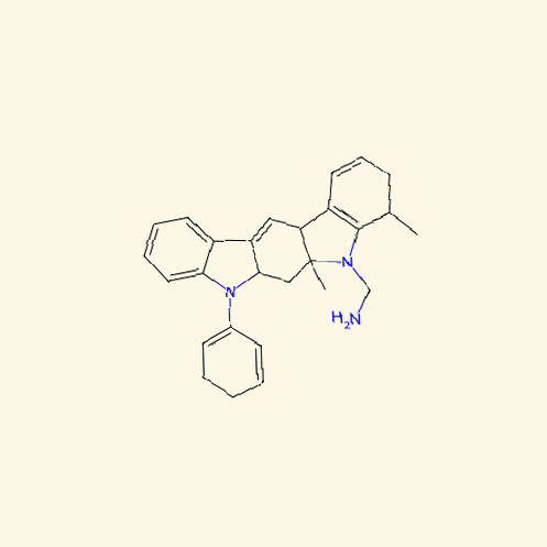 CC1CC=CC2=C1N(CN)C1(C)CC3C(=CC21)c1ccccc1N3C1=CCCC=C1